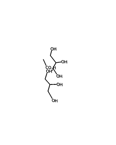 CC(=O)O.OCC(O)CO.OCC(O)CO